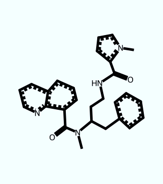 CN(C(=O)c1cccc2cccnc12)C(CCNC(=O)c1cccn1C)Cc1ccccc1